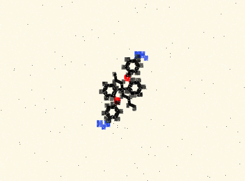 CCCCC(CCC)(c1ccccc1Oc1ccc(N)cc1)c1ccccc1Oc1ccc(N)cc1